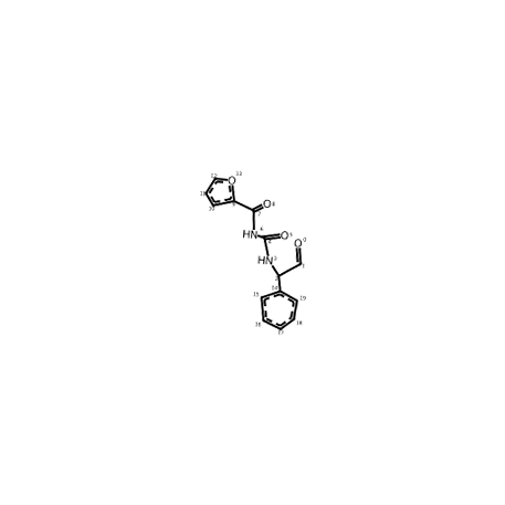 O=CC(NC(=O)NC(=O)c1ccco1)c1ccccc1